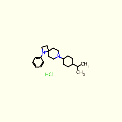 CC(C)C1CCC(N2CCC3(CC2)CCN3c2ccccc2)CC1.Cl